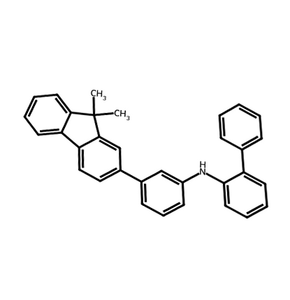 CC1(C)c2ccccc2-c2ccc(-c3cccc(Nc4ccccc4-c4ccccc4)c3)cc21